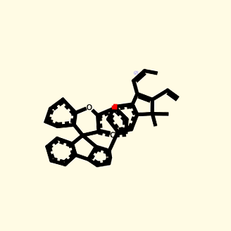 C=CC1=C(/C=C\C)c2ccc(-c3cccc4c3C3(c5ccccc5Oc5ccccc53)c3ccccc3-4)cc2C1(C)C